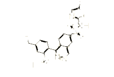 COc1cc(CF)ccc1-c1nncc2cc(S(=O)(=O)Nc3ncc(F)s3)ccc12